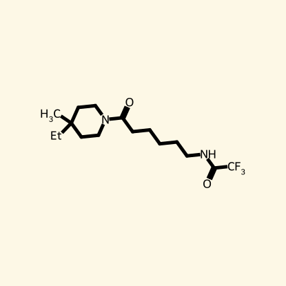 CCC1(C)CCN(C(=O)CCCCCNC(=O)C(F)(F)F)CC1